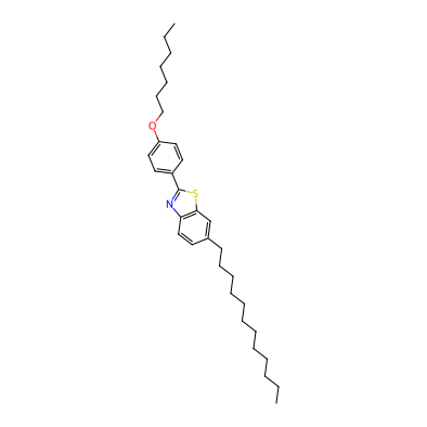 CCCCCCCCCCCCc1ccc2nc(-c3ccc(OCCCCCCC)cc3)sc2c1